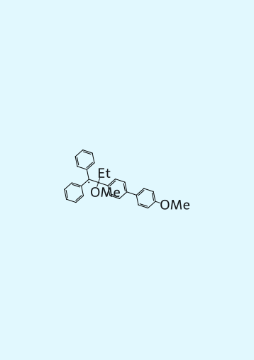 CCC(OC)([C](c1ccccc1)c1ccccc1)c1ccc(-c2ccc(OC)cc2)cc1